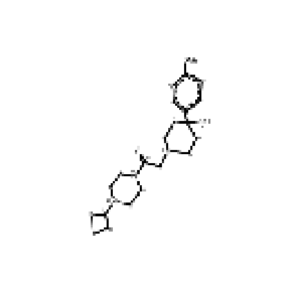 COc1ccc(C2(O)CCN(CC(=O)N3CCN(C4CCC4)CC3)CC2)cc1